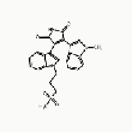 Cn1cc(C2=C(c3cn(CCCS(C)(=O)=O)c4ccccc34)C(=O)NC2=O)c2ccccc21